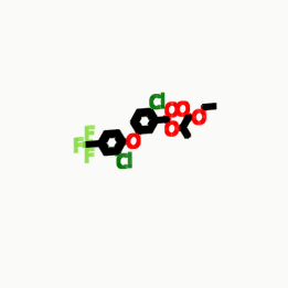 CCOC(=O)C(C)OC(=O)c1cc(Oc2ccc(C(F)(F)F)cc2Cl)ccc1Cl